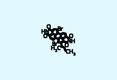 CCCC(C)c1c2c3c(ccc4c5c(Br)cc6c7c(ccc(c(c1Br)c34)c75)C(=O)NC6=O)C(=O)NC2=O